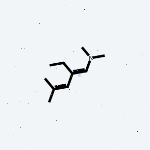 CC/C(C=C(C)C)=C\N(C)C